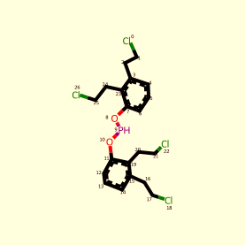 ClCCc1cccc(OPOc2cccc(CCCl)c2CCCl)c1CCCl